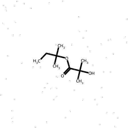 CCC(C)(C)OC(=O)C(C)(C)O